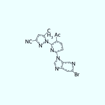 CC(=O)c1ccc(-n2cnc3cc(Br)ncc32)nc1-n1nc(C#N)cc1C